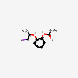 CNC(=O)Oc1ccccc1OC(CI)OC